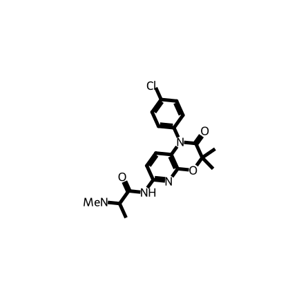 CNC(C)C(=O)Nc1ccc2c(n1)OC(C)(C)C(=O)N2c1ccc(Cl)cc1